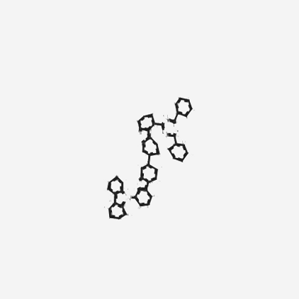 c1ccc(-c2nc(-c3ccccc3)nc(-c3cccc4oc5cc(-c6ccc7c(c6)sc6c(-n8c9ccccc9c9ccccc98)cccc67)ccc5c34)n2)cc1